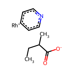 CCC(C)C(=O)[O-].[Rh+].c1ccncc1